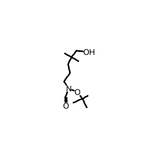 CC(C)(CO)CCCN(C=O)OC(C)(C)C